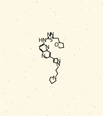 c1nc2ccc(Nc3nnc(CC4CCCO4)s3)nc2cc1-c1cnn(CCCN2CCCC2)c1